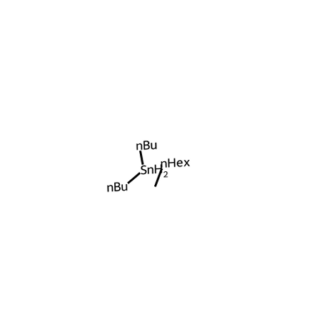 CCCCCCC.CCC[CH2][SnH2][CH2]CCC